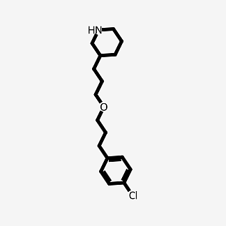 Clc1ccc(CCCOCCCC2CCCNC2)cc1